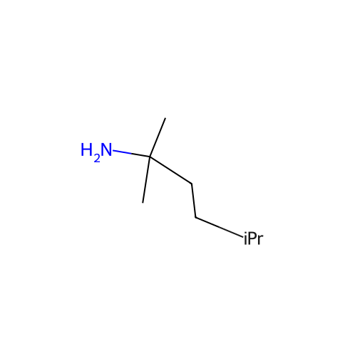 CC(C)CCC(C)(C)N